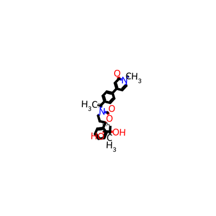 C[C@@H](c1ccc(-c2ccn(C)c(=O)c2)cc1)N1CC[C@](CC(C)(O)CO)(c2ccccc2)OC1=O